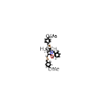 COc1ccc(CSCC2CC(C(C)(C)SCc3ccc(OC)cc3)N(Cc3ccccc3)C2=O)cc1